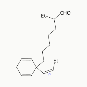 CC/C=C\C1(CCCCCC(C=O)CC)C=CCC=C1